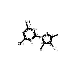 Cc1nn(-c2nc(N)cc(Cl)n2)c(C)c1Cl